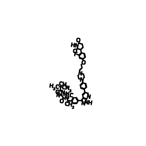 Cc1cc(-c2n[nH]c3ncc(-c4ccc(N5CCN(CCCOc6ccc(C7CCC(=O)NC7=O)c(F)c6)CC5)cc4)cc23)ccc1[C@@H](C)NC(=O)c1noc(C(C)(C)C)n1